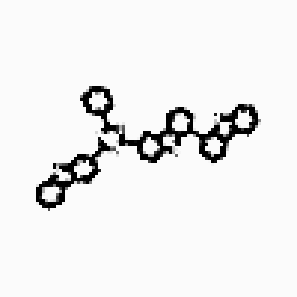 c1ccc(-c2nc(-c3ccc4c(c3)sc3ccccc34)nc(-c3ccc4sc5c(-c6cccc7c6oc6ccccc67)cccc5c4c3)n2)cc1